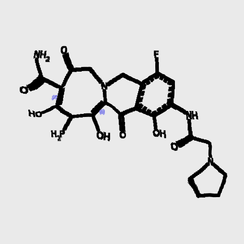 NC(=O)/C1=C(\O)C(P)/C(O)=C2/C(=O)c3c(O)c(NC(=O)CN4CCCC4)cc(F)c3CN2CC1=O